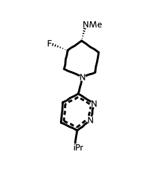 CN[C@@H]1CCN(c2ccc(C(C)C)nn2)C[C@@H]1F